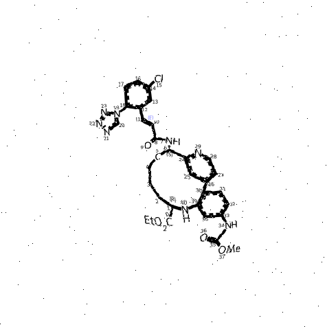 CCOC(=O)[C@H]1CCCC[C@H](NC(=O)/C=C/c2cc(Cl)ccc2-n2cnnn2)c2cc(ccn2)-c2ccc(NC(=O)OC)cc2N1